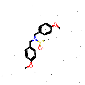 COc1ccc(CN(Cc2ccc(OC)cc2)[S+](C)[O-])cc1